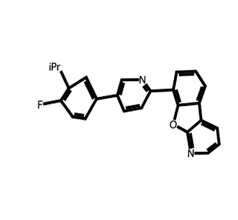 CC(C)c1cc(-c2ccc(-c3cccc4c3oc3ncccc34)nc2)ccc1F